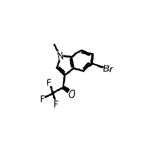 Cn1cc(C(=O)C(F)(F)F)c2cc(Br)ccc21